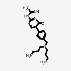 CC(=N)NC1=NC(=O)C(c2ccc(CN(CCCN)CCCN)cc2)C=N1